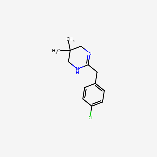 CC1(C)CN=C(Cc2ccc(Cl)cc2)NC1